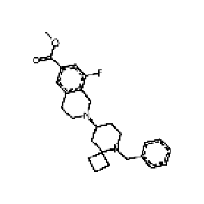 COC(=O)c1cc(F)c2c(c1)CCN([C@H]1CCN(Cc3ccccc3)C3(CCC3)C1)C2